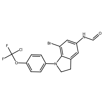 O=CNc1cc(Br)c2c(c1)CCN2c1ccc(OC(F)(F)Cl)cc1